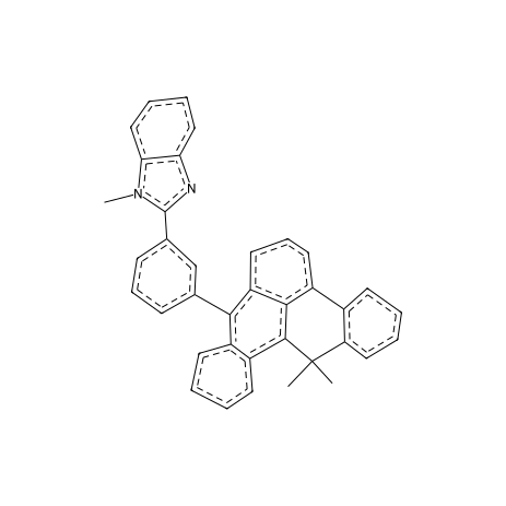 Cn1c(-c2cccc(-c3c4ccccc4c4c5c(cccc35)-c3ccccc3C4(C)C)c2)nc2ccccc21